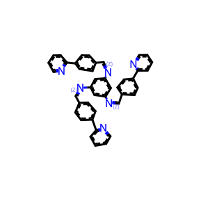 C(=N/c1cc(/N=C\c2ccc(-c3ccccn3)cc2)cc(/N=C\c2ccc(-c3ccccn3)cc2)c1)/c1ccc(-c2ccccn2)cc1